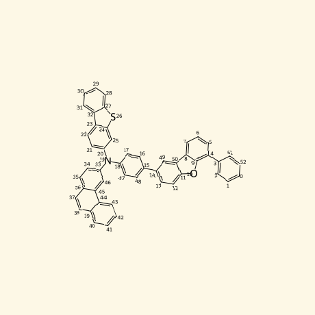 c1ccc(-c2cccc3c2oc2ccc(-c4ccc(N(c5ccc6c(c5)sc5ccccc56)c5ccc6ccc7ccccc7c6c5)cc4)cc23)cc1